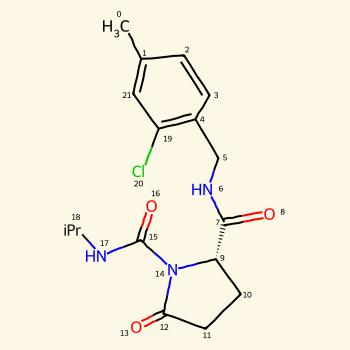 Cc1ccc(CNC(=O)[C@@H]2CCC(=O)N2C(=O)NC(C)C)c(Cl)c1